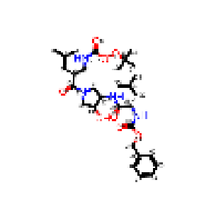 CC(C)C[C@@H](CNC(=O)OOC(C)(C)C)C(=O)N1CC(O)C(NC(=O)[C@H](CC(C)C)NC(=O)OCc2ccccc2)C1